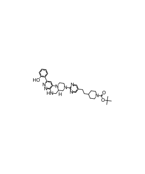 CC(C)(C)OC(=O)N1CCC(CCc2cnc(N3CCN4c5cc(-c6ccccc6O)nnc5NC[C@@H]4C3)nc2)CC1